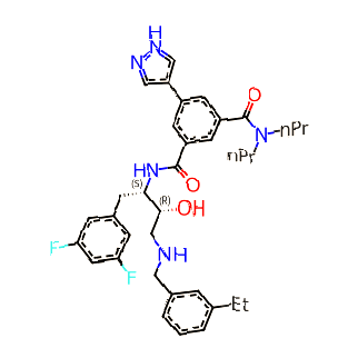 CCCN(CCC)C(=O)c1cc(C(=O)N[C@@H](Cc2cc(F)cc(F)c2)[C@H](O)CNCc2cccc(CC)c2)cc(-c2cn[nH]c2)c1